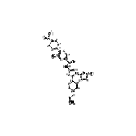 CCCN1CCN(c2sc(NC(=O)c3ccc(N4CCC(C(=O)O)CC4)c(Cl)c3)nc2-c2cc(Cl)cs2)CC1